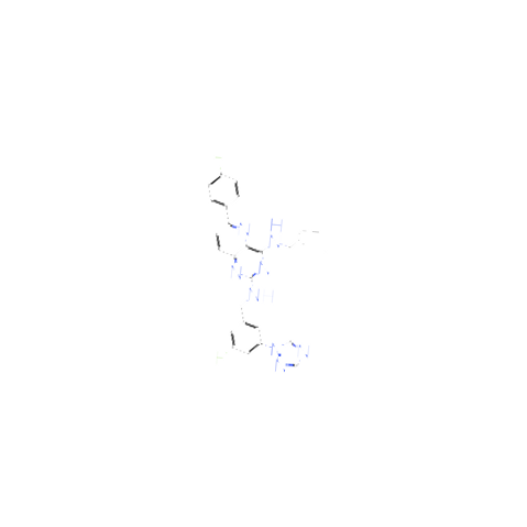 Fc1ccc(-c2ccc3nc(NCc4cc(F)cc(-n5cncn5)c4)nc(NCC(F)(F)F)c3n2)cc1